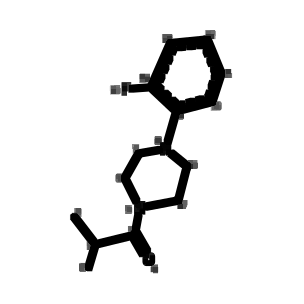 CC(C)C(=O)N1CCN(c2ccccc2F)CC1